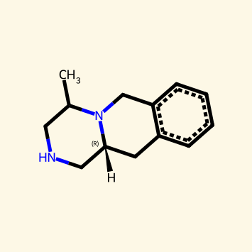 CC1CNC[C@H]2Cc3ccccc3CN12